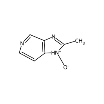 CC1=Nc2cnccc2[NH+]1[O-]